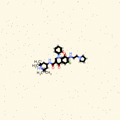 CC1(C)CC(NC(=O)c2cn3c4c(c(NCCN5CCCC5)c(F)cc4c2=O)Oc2ccccc2-3)CC(C)(C)N1